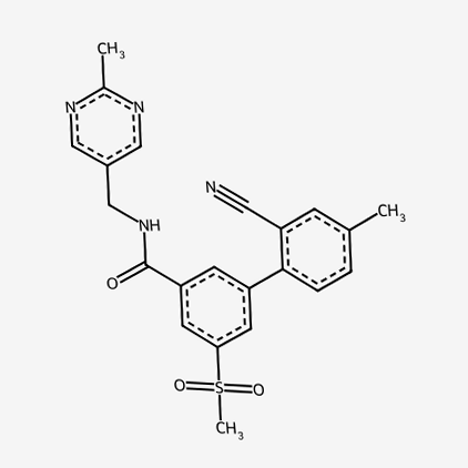 Cc1ccc(-c2cc(C(=O)NCc3cnc(C)nc3)cc(S(C)(=O)=O)c2)c(C#N)c1